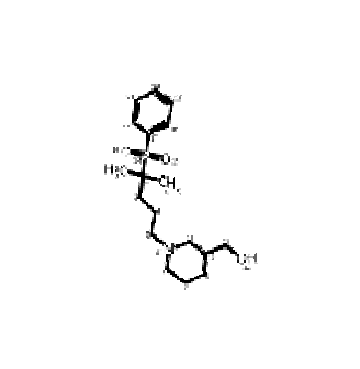 CC(C)(CCCN1CCCC(CO)C1)S(=O)(=O)c1ccccc1